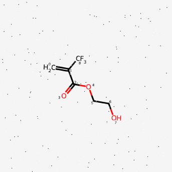 C=C(C(=O)OCCO)C(F)(F)F